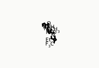 CCC1CN(C(=O)c2cnn(-c3nn4cccc4c(=O)[nH]3)c2C)CC2CC(CC(F)(F)F)=C12